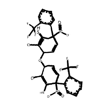 O=[N+]([O-])C1(c2ccccc2C(F)(F)F)C=CC(OC2C=CC(c3ccccc3C(F)(F)F)([N+](=O)[O-])C(S)=C2Cl)C(Cl)=C1S